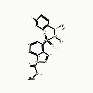 CCN([C@H](c1ccc(F)cc1)C(F)(F)F)S(=O)(=O)c1cccc2c1cnn2C(=O)OC(C)(C)C